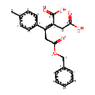 Cc1ccc(C(CC(=O)OCc2ccccc2)=C(CC(=O)O)C(=O)O)cc1